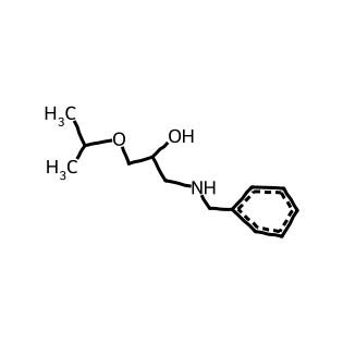 CC(C)OCC(O)CNCc1ccccc1